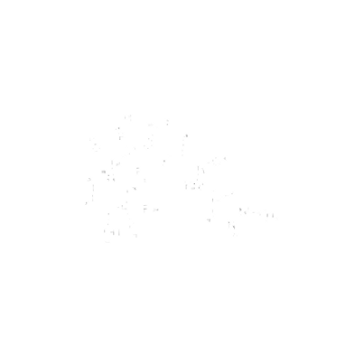 Cn1cc(NC(=O)c2ccc(F)c(C(F)(F)C(=O)N3CCC(O)C(F)(F)C3)c2)cn1